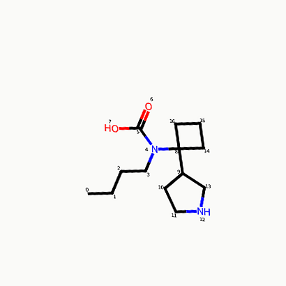 CCCCN(C(=O)O)C1(C2CCNC2)CCC1